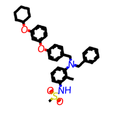 Cc1c(NS(C)(=O)=O)cccc1N(Cc1ccccc1)Cc1ccc(Oc2cccc(OC3CCCCC3)c2)cc1